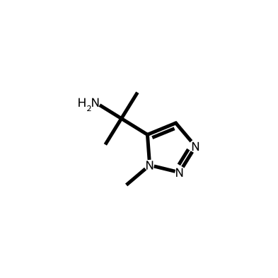 Cn1nncc1C(C)(C)N